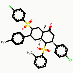 Cc1ccc(C2C[C@@H]3C(S(=O)(=O)c4ccccc4C)[C@H](c4ccc(Cl)cc4)CC(=O)[C@@H]3CC2S(=O)(=O)c2ccc(Cl)cc2)cc1